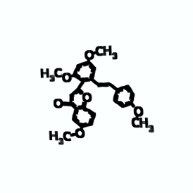 COc1ccc(C=Cc2cc(OC)cc(OC)c2-c2cc(=O)c3cc(OC)ccc3o2)cc1